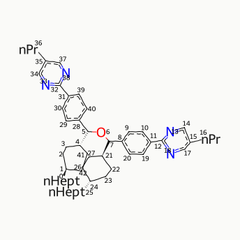 CCCCCCC[C@H]1CC[C@H](C(OC(c2ccc(-c3ncc(CCC)cn3)cc2)[C@H]2CC[C@H](CCCCCCC)CC2)c2ccc(-c3ncc(CCC)cn3)cc2)CC1